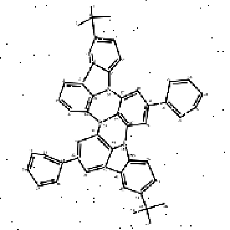 CC(C)(C)c1ccc2c(c1)c1cccc3c1n2-c1cc(-c2ccccc2)cc2c1B3c1cc(-c3ccccc3)cc3c4cc(C(C)(C)C)ccc4n-2c13